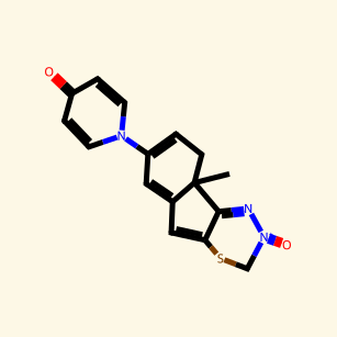 CC12CC=C(n3ccc(=O)cc3)C=C1C=C1SC[N+](=O)N=C12